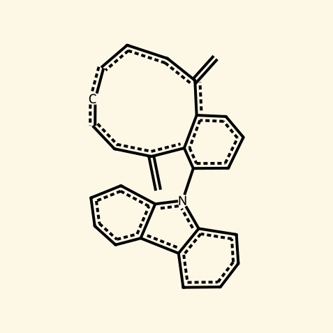 C=c1ccccccc(=C)c2c(-n3c4ccccc4c4ccccc43)cccc12